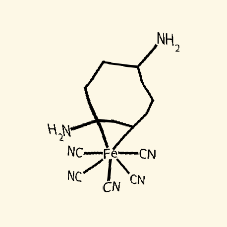 N#[C][Fe]1([C]#N)([C]#N)([C]#N)([C]#N)[CH]2CC(N)CC[C]21N